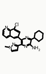 Cn1ccc(-c2nc(N)c(C3CCCCC3)nc2-c2cc(Cl)c3ncccc3c2)n1